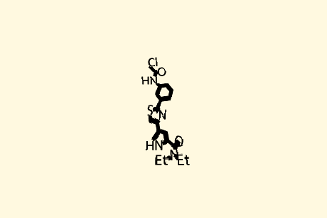 CCN(CC)C(=O)c1cc(-c2csc(-c3cccc(NC(=O)CCl)c3)n2)c[nH]1